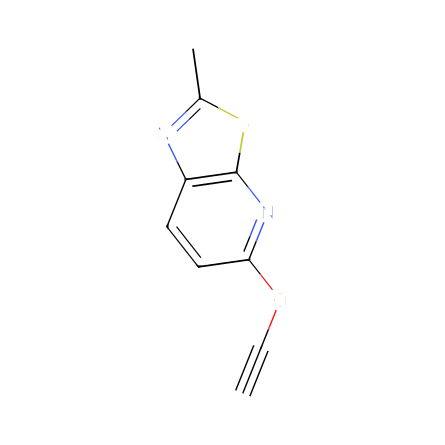 C#COc1ccc2nc(C)sc2n1